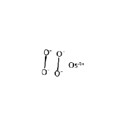 [O-][O-].[O-][O-].[Os+4]